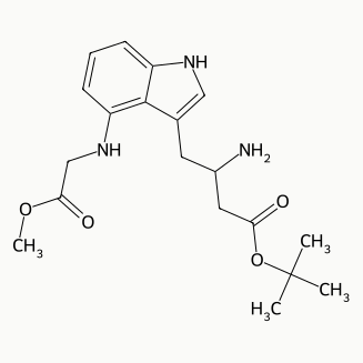 COC(=O)CNc1cccc2[nH]cc(CC(N)CC(=O)OC(C)(C)C)c12